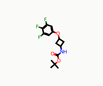 CC(C)(C)OC(=O)NC1CC(Oc2cc(F)c(F)c(F)c2)C1